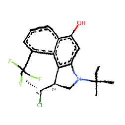 C[C@@H](Cl)[C@@H]1CN(C(C)(C)C)c2cc(O)c3cccc(C(F)(F)F)c3c21